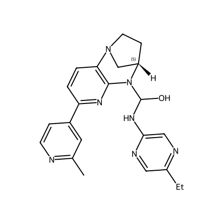 CCc1cnc(NC(O)N2c3nc(-c4ccnc(C)c4)ccc3N3CC[C@H]2C3)cn1